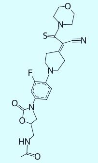 CC(=O)NCC1CN(c2ccc(N3CCC(=C(C#N)C(=S)N4CCOCC4)CC3)c(F)c2)C(=O)O1